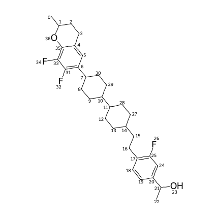 CC1CCc2cc(C3CCC(C4CCC(CCc5ccc(C(C)O)cc5F)CC4)CC3)c(F)c(F)c2O1